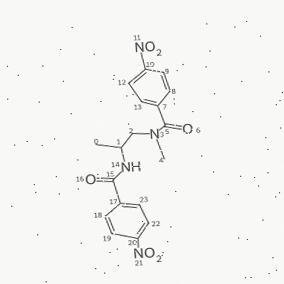 CC(CN(C)C(=O)c1ccc([N+](=O)[O-])cc1)NC(=O)c1ccc([N+](=O)[O-])cc1